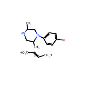 CC1CN(c2ccc(I)cc2)C(C)CN1.O=C(O)/C=C/C(=O)O